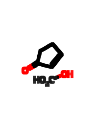 O=C(O)O.O=C1C=CCC1